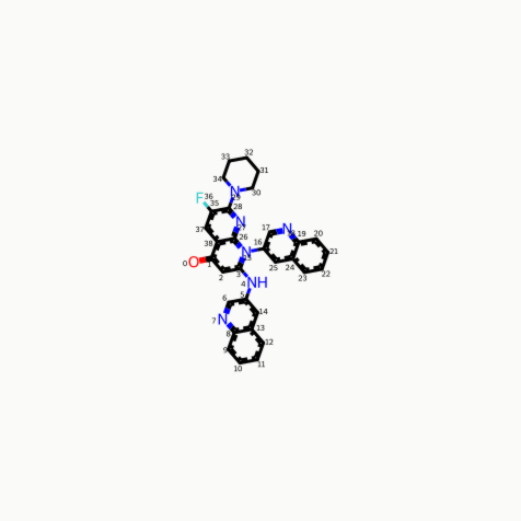 O=c1cc(Nc2cnc3ccccc3c2)n(-c2cnc3ccccc3c2)c2nc(N3CCCCC3)c(F)cc12